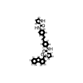 O=C(Nc1ccc(/C=C/c2ccc(NC(=O)[C@@H]3CCCN3C(=O)c3cccc4c3Cc3ccccc3-4)cc2)cc1)[C@@H]1CCCN1